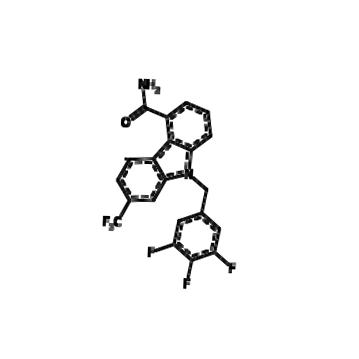 NC(=O)c1cccc2c1c1[c]cc(C(F)(F)F)cc1n2Cc1cc(F)c(F)c(F)c1